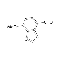 COc1ccc(C=O)c2ccoc12